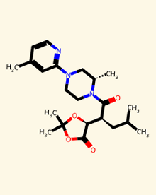 Cc1ccnc(N2CCN(C(=O)[C@@H](CC(C)C)[C@@H]3OC(C)(C)OC3=O)[C@@H](C)C2)c1